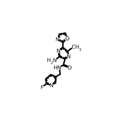 Cc1nc(C(=O)NCc2ccc(F)nc2)c(N)nc1-c1ncco1